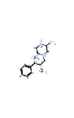 C[C@H]1CN(C[C@H](C)[C@@H](N)c2ccccc2)CCN1